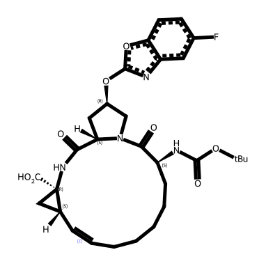 CC(C)(C)OC(=O)N[C@H]1CCCCC/C=C\[C@@H]2C[C@@]2(C(=O)O)NC(=O)[C@@H]2C[C@@H](Oc3nc4cc(F)ccc4o3)CN2C1=O